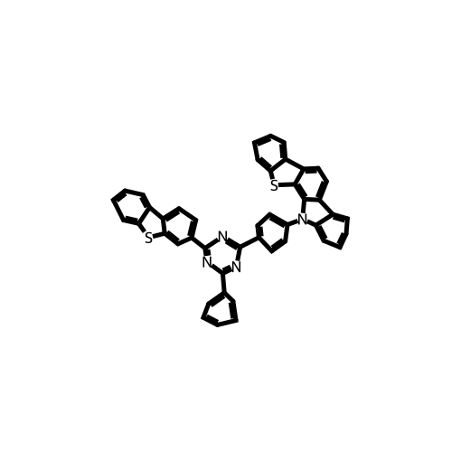 c1ccc(-c2nc(-c3ccc(-n4c5ccccc5c5ccc6c7ccccc7sc6c54)cc3)nc(-c3ccc4c(c3)sc3ccccc34)n2)cc1